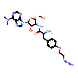 CN(C)c1ncnc2c1ncn2[C@@H]1O[C@H](CO)[C@@H](NC(=O)C(N)Cc2ccc(OCCN=[N+]=[N-])cc2)[C@H]1O